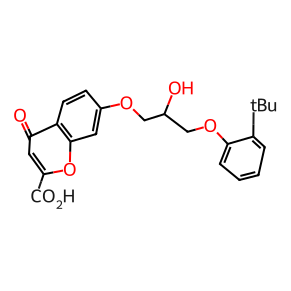 CC(C)(C)c1ccccc1OCC(O)COc1ccc2c(=O)cc(C(=O)O)oc2c1